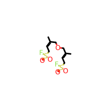 CC(=CCS(=O)(=O)F)COCC(C)=CCS(=O)(=O)F